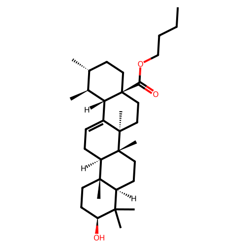 CCCCOC(=O)[C@]12CC[C@@H](C)[C@H](C)[C@H]1C1=CC[C@@H]3[C@@]4(C)CC[C@H](O)C(C)(C)[C@@H]4CC[C@@]3(C)[C@]1(C)CC2